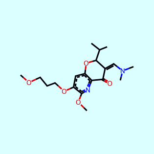 COCCCOc1cc2c(nc1OC)C(=O)C(=CN(C)C)C(C(C)C)O2